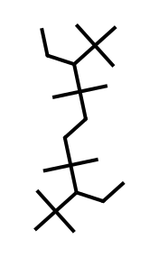 CCC(C(C)(C)C)C(C)(C)CCC(C)(C)C(CC)C(C)(C)C